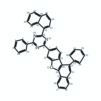 c1ccc(-c2nc(-c3ccc4c(c3)oc3c5ccccc5cc(-c5ccccc5)c43)nc(-c3cccc4ccccc34)n2)cc1